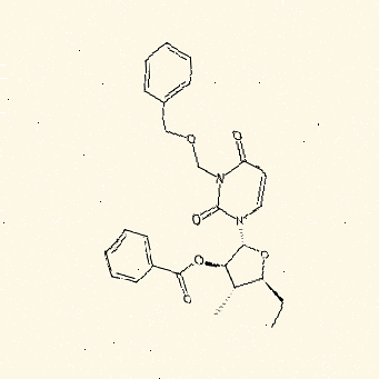 CC[C@@H]1O[C@@H](n2ccc(=O)n(COCc3ccccc3)c2=O)[C@H](OC(=O)c2ccccc2)[C@H]1C